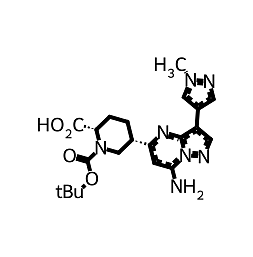 Cn1cc(-c2cnn3c(N)cc([C@H]4CC[C@@H](C(=O)O)N(C(=O)OC(C)(C)C)C4)nc23)cn1